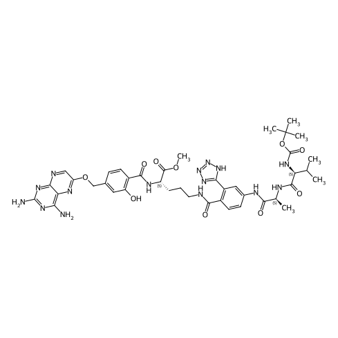 COC(=O)[C@H](CCCNC(=O)c1ccc(NC(=O)[C@H](C)NC(=O)[C@@H](NC(=O)OC(C)(C)C)C(C)C)cc1-c1nnn[nH]1)NC(=O)c1ccc(COc2cnc3nc(N)nc(N)c3n2)cc1O